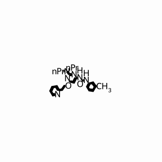 CCCN(CCC)c1nc(NC(=O)Nc2cccc(C)c2)cc(OCCc2ccccn2)n1